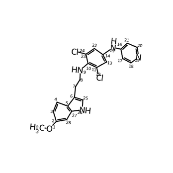 COc1ccc2c(CCNc3c(Cl)cc(Nc4ccncc4)cc3Cl)c[nH]c2c1